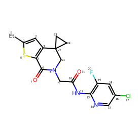 CCc1cc2c(s1)C(=O)N(CC(=O)Nc1ncc(Cl)cc1F)CC21CC1